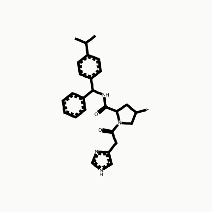 CC(C)c1ccc(C(NC(=O)C2CC(F)CN2C(=O)Cc2c[nH]cn2)c2ccccc2)cc1